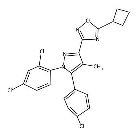 Cc1c(-c2noc(C3CCC3)n2)nn(-c2ccc(Cl)cc2Cl)c1-c1ccc(Cl)cc1